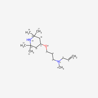 C=CCN(C)CCCOC1CC(C)(C)NC(C)(C)C1